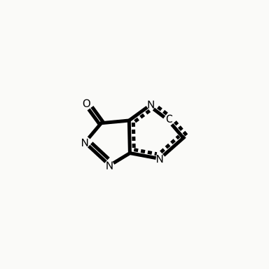 O=C1N=Nc2nccnc21